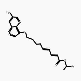 CC(C)C(C)NC(=O)C=CC=CCCCCOc1cccc2cc(C(F)(F)F)cnc12